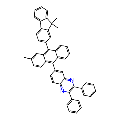 Cc1ccc2c(-c3ccc4nc(-c5ccccc5)c(-c5ccccc5)nc4c3)c3ccccc3c(-c3ccc4c(c3)C(C)(C)c3ccccc3-4)c2c1